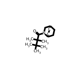 CC(C)(C)C(C)(C)C(=O)N1CC2CCC1CC2